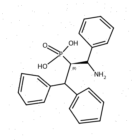 NC(c1ccccc1)[C@@H](C(c1ccccc1)c1ccccc1)P(=O)(O)O